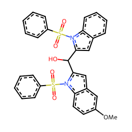 COc1ccc2c(c1)cc(C(O)c1cc3ccccc3n1S(=O)(=O)c1ccccc1)n2S(=O)(=O)c1ccccc1